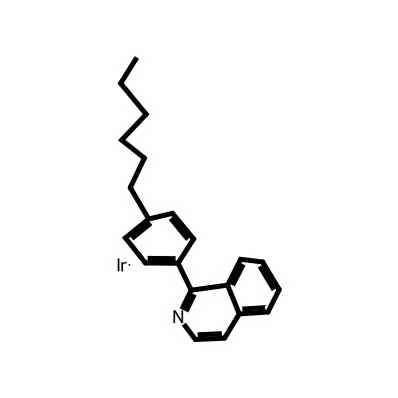 CCCCCCc1ccc(-c2nccc3ccccc23)cc1.[Ir]